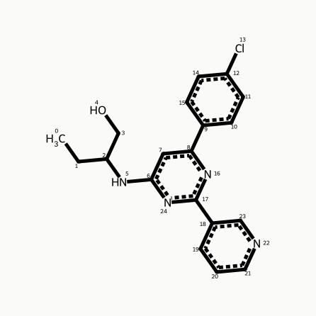 CCC(CO)Nc1cc(-c2ccc(Cl)cc2)nc(-c2cccnc2)n1